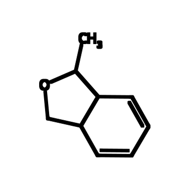 CC1OCC2C=CC=CC21